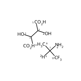 O=C(O)C(O)C(O)C(=O)O.[2H]C(C)(N)C(F)(F)F